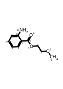 COCCOC(=O)c1ccccc1N